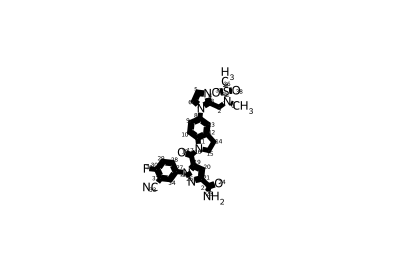 CN(Cc1nccn1-c1ccc2c(c1)CCN2C(=O)c1cc(C(N)=O)nn1-c1ccc(F)c(C#N)c1)S(C)(=O)=O